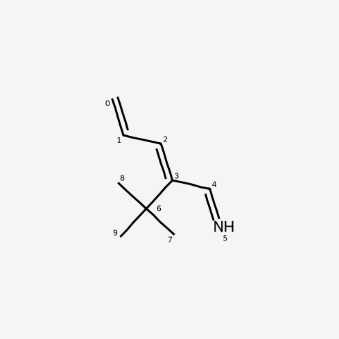 C=C/C=C(/C=N)C(C)(C)C